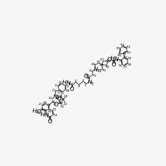 CN(CCCCC(=O)Nc1ccc(CNC[C@H](O[Si](C)(C)C(C)(C)C)c2ccc(O)c3[nH]c(=O)ccc23)cc1)C(=O)CCN1CCC2(CC1)CC(OC(=O)Nc1ccccc1-c1ccccc1)C2